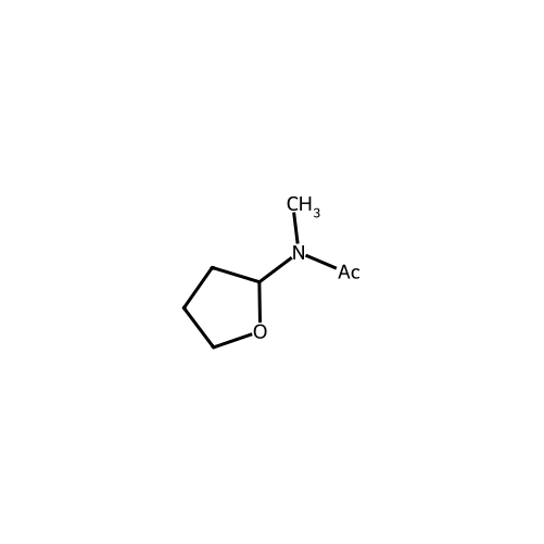 [CH2]C(=O)N(C)C1CCCO1